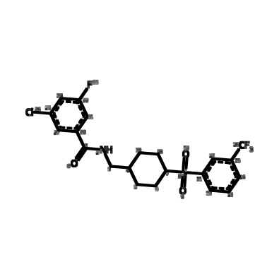 O=C(NCC1CCC(S(=O)(=O)c2cccc(C(F)(F)F)c2)CC1)c1cc(F)cc(Cl)c1